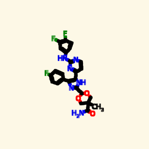 CC1(C(N)=O)COC(c2nc(-c3ccc(F)cc3)c(-c3ccnc(Nc4ccc(F)c(F)c4)n3)[nH]2)OC1